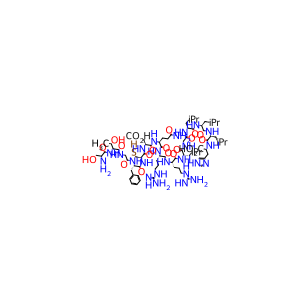 CC(C)C[C@H](NC(=O)CNC(=O)[C@H](CC(C)C)NC(=O)[C@H](CCCNC(=N)N)NC(=O)[C@H](CCCNC(=N)N)NC(=O)[C@H](CCC(N)=O)NC(=O)[C@H](CC(=O)O)NC(=O)[C@H](CS)NC(=O)[C@H](Cc1ccccc1)NC(=O)CNC(=O)[C@@H](NC(=O)[C@@H](N)CO)[C@@H](C)O)C(=O)N[C@@H](CC(C)C)C(=O)N[C@@H](CC(C)C)C(=O)N[C@@H](Cc1c[nH]cn1)C(=O)O